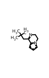 CC(C)(C)CC1=NCCn2cccc21